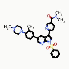 Cc1cc(-c2cnc3c(c2)c(-c2ccc(C(=O)N(C)C)cn2)cn3S(=O)(=O)c2ccccc2)ccc1N1CCN(C)CC1